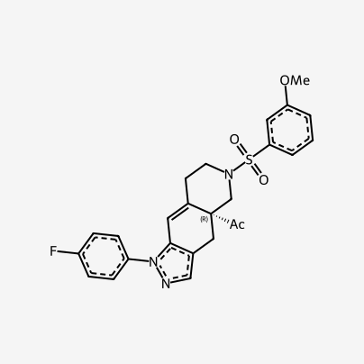 COc1cccc(S(=O)(=O)N2CCC3=Cc4c(cnn4-c4ccc(F)cc4)C[C@]3(C(C)=O)C2)c1